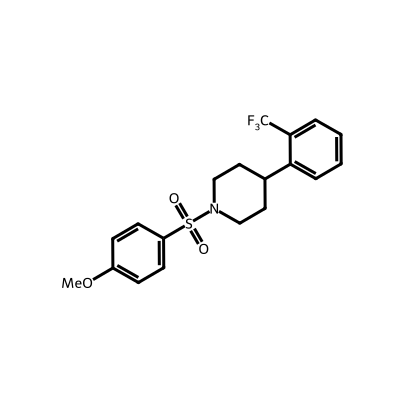 COc1ccc(S(=O)(=O)N2CCC(c3ccccc3C(F)(F)F)CC2)cc1